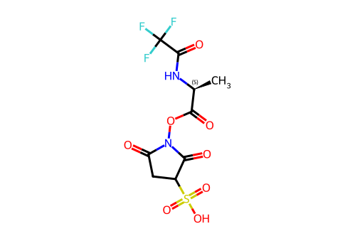 C[C@H](NC(=O)C(F)(F)F)C(=O)ON1C(=O)CC(S(=O)(=O)O)C1=O